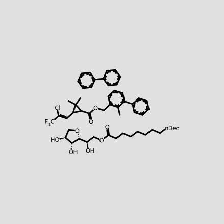 CCCCCCCCCCCCCCCCCC(=O)OC[C@@H](O)[C@H]1OC[C@H](O)[C@H]1O.Cc1c(COC(=O)C2C(/C=C(\Cl)C(F)(F)F)C2(C)C)cccc1-c1ccccc1.c1ccc(-c2ccccc2)cc1